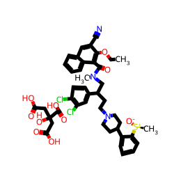 CCOc1c(C#N)cc2ccccc2c1C(=O)N(C)CC(CCN1CCC(c2ccccc2[S@+](C)[O-])CC1)c1ccc(Cl)c(Cl)c1.O=C(O)CC(O)(CC(=O)O)C(=O)O